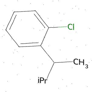 CC(C)C(C)c1ccccc1Cl